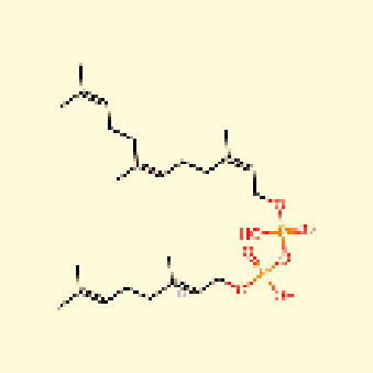 CC(C)=CCCC(C)=CCCC(C)=CCOP(=O)(O)OP(=O)(O)OC/C=C(\C)CCC=C(C)C